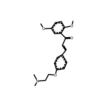 COc1ccc(OC)c(C(=O)C=Cc2ccc(OCCN(C)C)cc2)c1